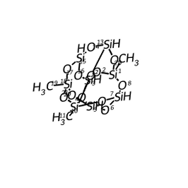 C[Si]12O[SiH]3O[SiH]4O[SiH](O1)O[Si]1(C)O[SiH](O[SiH](O3)O[Si](C)(O4)O1)O2